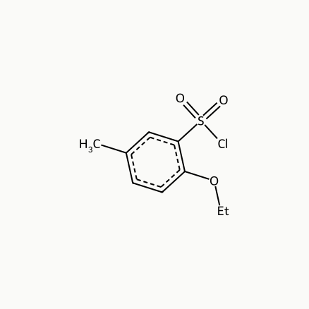 CCOc1ccc(C)cc1S(=O)(=O)Cl